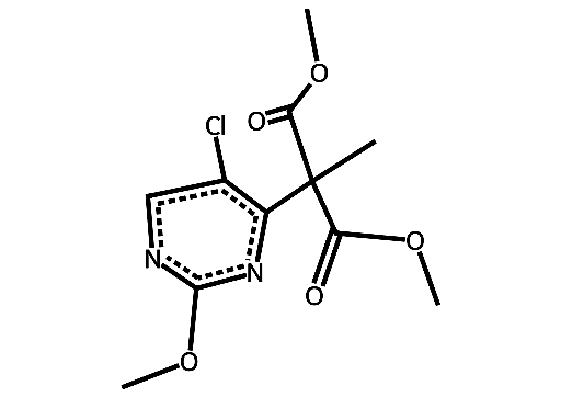 COC(=O)C(C)(C(=O)OC)c1nc(OC)ncc1Cl